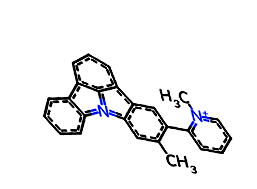 Cc1cc2c(cc1-c1cccc[n+]1C)c1cccc3c4ccccc4n2c31